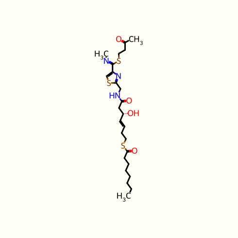 CCCCCCCC(=O)SCC/C=C/[C@@H](O)CC(=O)NCc1nc(/C(=N/C)SCCC(C)=O)cs1